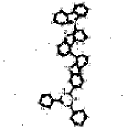 c1ccc(C2=NC(c3ccccc3)NC(c3ccc4c(c3)sc3c(-c5cccc6sc7c(-n8c9ccccc9c9ccccc98)cccc7c56)cccc34)N2)cc1